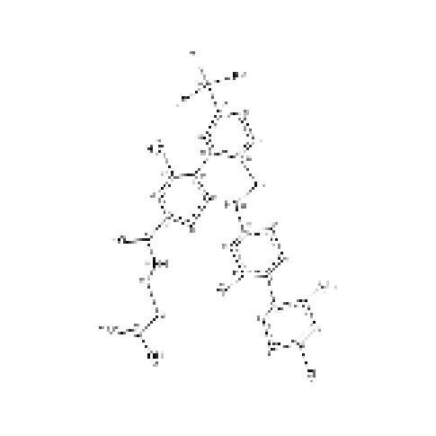 Cc1cc(Cl)ccc1-c1ccc(NCc2ccc(C(F)(F)F)cc2-c2ccc(C(=O)NCCC(=O)O)cc2C)cc1Cl